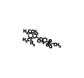 CCC(=O)S(=O)(=O)c1ccc(/C=C(\C)c2ccc3c(c2)C(C)(C)CCC3(C)C)cc1